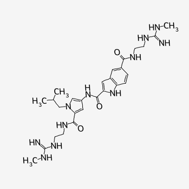 CNC(=N)NCCNC(=O)c1ccc2[nH]c(C(=O)Nc3cc(C(=O)NCCNC(=N)NC)n(CC(C)C)c3)cc2c1